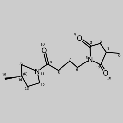 CC1CC(=O)N(CCCC(=O)N2CC[C@@H](C)C2)C1=O